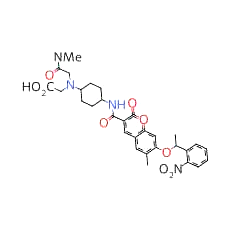 CNC(=O)CN(CC(=O)O)C1CCC(NC(=O)c2cc3cc(C)c(OC(C)c4ccccc4[N+](=O)[O-])cc3oc2=O)CC1